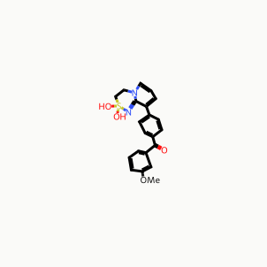 COc1cccc(C(=O)c2ccc(C3=CC=CN4CCS(O)(O)N=C34)cc2)c1